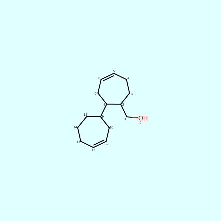 OCC1CCC=CCC1C1CC=CCCC1